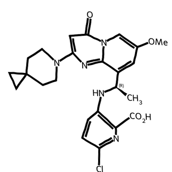 COc1cc([C@@H](C)Nc2ccc(Cl)nc2C(=O)O)c2nc(N3CCC4(CC3)CC4)cc(=O)n2c1